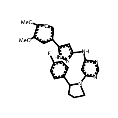 COc1ccc(-c2cc(Nc3cc(N4CCCC4c4ccc(F)cc4)ncn3)n[nH]2)cc1OC